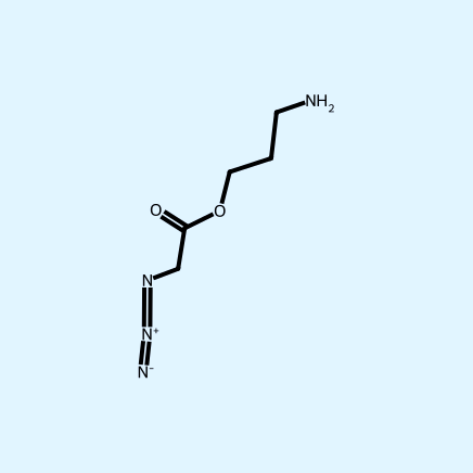 [N-]=[N+]=NCC(=O)OCCCN